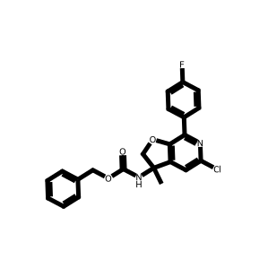 CC1(NC(=O)OCc2ccccc2)COc2c1cc(Cl)nc2-c1ccc(F)cc1